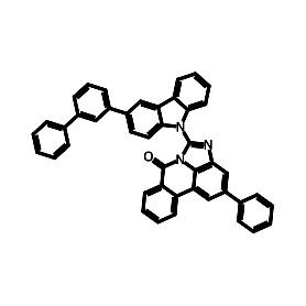 O=c1c2ccccc2c2cc(-c3ccccc3)cc3nc(-n4c5ccccc5c5cc(-c6cccc(-c7ccccc7)c6)ccc54)n1c32